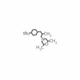 CC(CC1CCC(C(C)(C)C)CC1)CN1CC(C)OC(C)C1